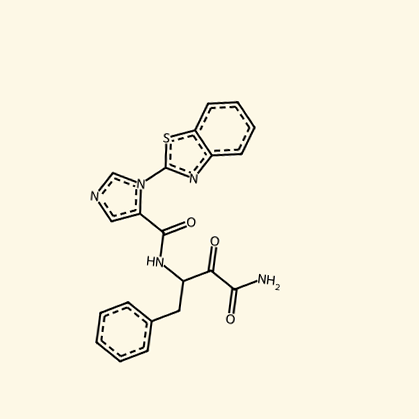 NC(=O)C(=O)C(Cc1ccccc1)NC(=O)c1cncn1-c1nc2ccccc2s1